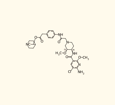 COc1nc(N)c(Cl)cc1C(=O)N[C@@H]1CCN(CC(=O)Nc2ccc(CC(=O)OC3CN4CCC3CC4)cc2)C[C@@H]1OC